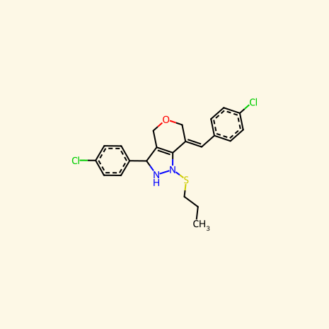 CCCSN1NC(c2ccc(Cl)cc2)C2=C1C(=Cc1ccc(Cl)cc1)COC2